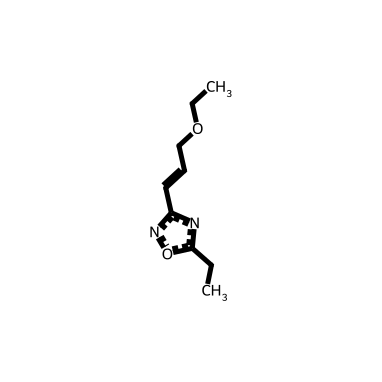 CCOC/C=C/c1noc(CC)n1